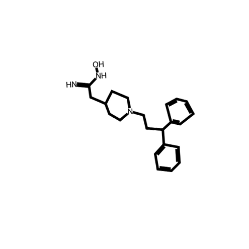 N=C(CC1CCN(CCC(c2ccccc2)c2ccccc2)CC1)NO